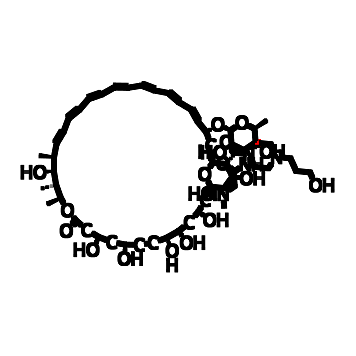 CNCC(=O)N[C@@H]1[C@H](O)[C@@H](O[C@H]2/C=C/C=C/C=C/C=C/C=C/C=C/C=C/[C@H](C)[C@@H](O)[C@@H](C)[C@H](C)OC(=O)C[C@H](O)C[C@H](O)CC[C@@H](O)[C@H](O)C[C@H](O)CC3(O)C[C@H](O)[C@@H](C(=O)N4CCN(CCCO)CC4)[C@H](C2)O3)O[C@@H](C)[C@H]1O